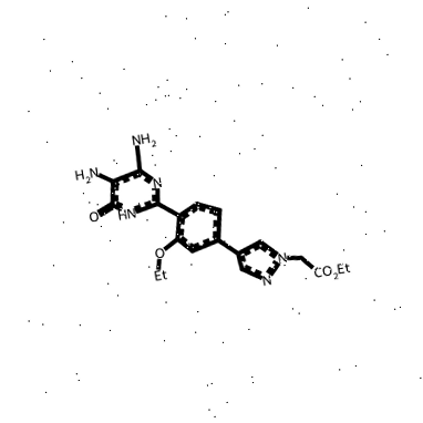 CCOC(=O)Cn1cc(-c2ccc(-c3nc(N)c(N)c(=O)[nH]3)c(OCC)c2)cn1